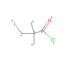 CC(C)(CI)C(=O)Cl